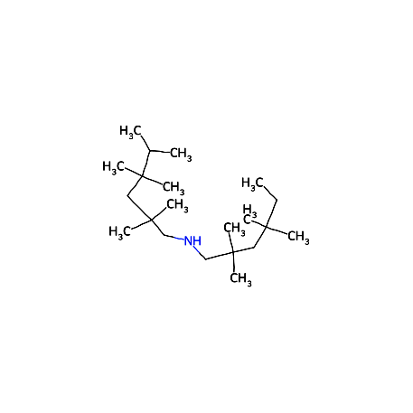 CCC(C)(C)CC(C)(C)CNCC(C)(C)CC(C)(C)C(C)C